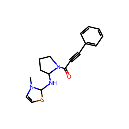 CN1C=CSC1NC1CCCN1C(=O)C#Cc1ccccc1